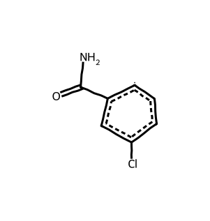 NC(=O)c1[c]ccc(Cl)c1